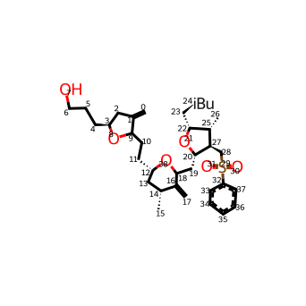 C=C1C[C@H](CCCO)OC1CC[C@H]1C[C@@H](C)C(=C)C(C[C@@H]2O[C@H](C[C@H](C)CC)[C@H](C)[C@H]2CS(=O)(=O)c2ccccc2)O1